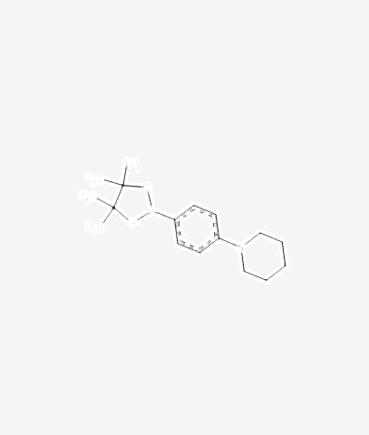 CC1(C)OB(c2ccc(N3CCCCC3)cc2)OC1(C)C